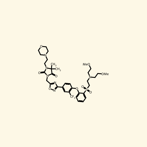 COCCN(CCOC)CCS(=O)(=O)c1ccccc1Oc1ccc(-c2noc(CN3C(=O)N(CCN4CCOCC4)C(C)(C)C3=O)n2)cc1C(F)(F)F